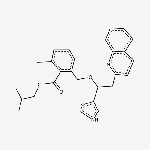 Cc1cccc(COC(Cc2ccc3ccccc3n2)c2c[nH]cn2)c1C(=O)OCC(C)C